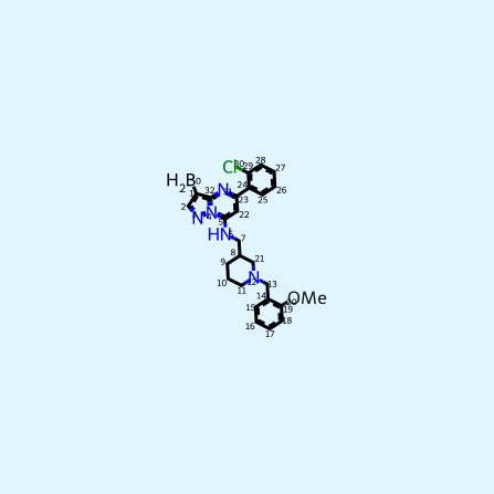 Bc1cnn2c(NCC3CCCN(Cc4ccccc4OC)C3)cc(-c3ccccc3Cl)nc12